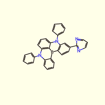 c1ccc(N2c3ccccc3B3c4ccc(-c5ncccn5)cc4N(c4ccccc4)c4cccc2c43)cc1